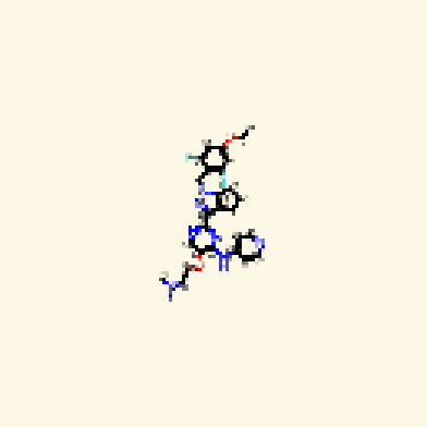 CCOc1cc(F)c(Cn2nc(-c3ncc(OCCN(C)C)c(Nc4ccncc4)n3)c3c2CCC3)c(F)c1